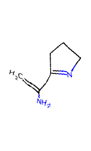 C=C(N)C1=NCCC1